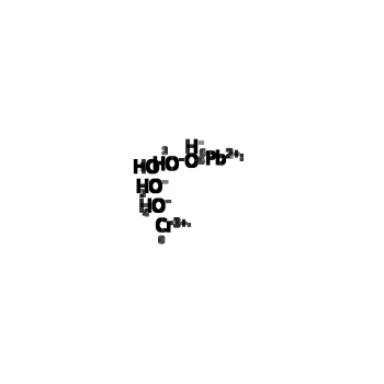 [Cr+3].[OH-].[OH-].[OH-].[OH-].[OH-].[Pb+2]